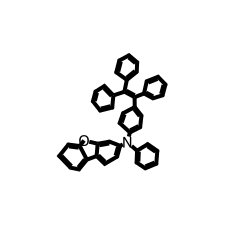 c1ccc(C(=C(c2ccccc2)c2ccc(N(c3ccccc3)c3ccc4c(c3)oc3ccccc34)cc2)c2ccccc2)cc1